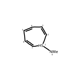 CN[SH]1C=CC=CC=C1